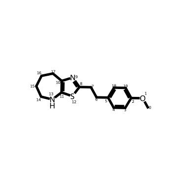 COc1ccc(CCc2nc3c(s2)NCCCC3)cc1